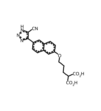 N#Cc1[nH]nnc1-c1ccc2cc(OCCCC(C(=O)O)C(=O)O)ccc2c1